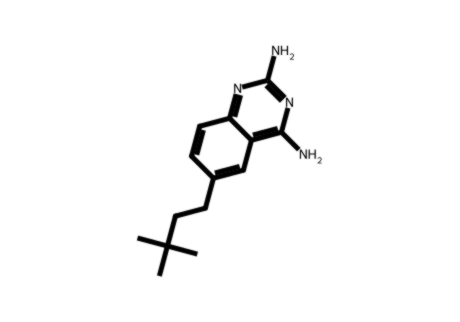 CC(C)(C)CCc1ccc2nc(N)nc(N)c2c1